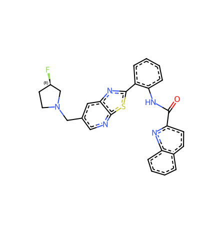 O=C(Nc1ccccc1-c1nc2cc(CN3CC[C@@H](F)C3)cnc2s1)c1ccc2ccccc2n1